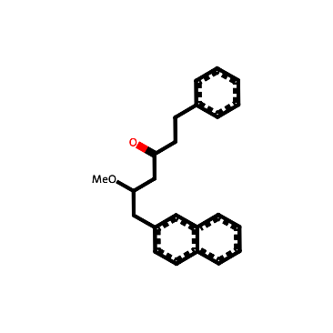 COC(CC(=O)CCc1ccccc1)Cc1ccc2ccccc2c1